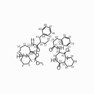 COC(=O)[C@@H]1CCC[C@@H]2SCC[C@H](NC(=O)[C@H](CC[C@H](Cc3ccccc3)C(=O)NC3CNC(=O)C4CCCCN4C3=O)Cc3ccccc3)C(=O)N21